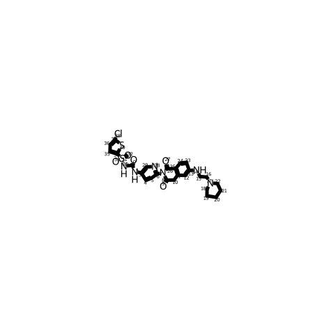 O=C(Nc1ccc(N2C(=O)Cc3cc(NCCN4CCCCC4)ccc3C2=O)nc1)NS(=O)(=O)c1ccc(Cl)s1